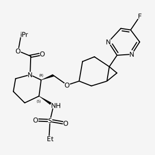 CCS(=O)(=O)N[C@H]1CCCN(C(=O)OC(C)C)[C@H]1COC1CCC2(c3ncc(F)cn3)CC2C1